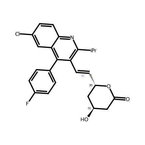 CC(C)c1nc2ccc(Cl)cc2c(-c2ccc(F)cc2)c1/C=C/[C@H]1C[C@H](O)CC(=O)O1